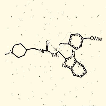 COc1ccc(C[C@@H](NC(=O)NCC2CCN(C)CC2)c2nc3ccccc3[nH]2)cc1